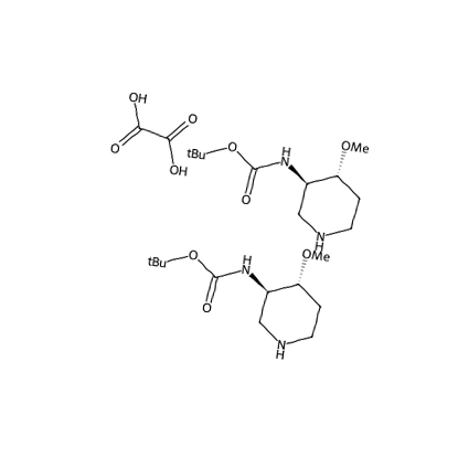 CO[C@@H]1CCNC[C@H]1NC(=O)OC(C)(C)C.CO[C@@H]1CCNC[C@H]1NC(=O)OC(C)(C)C.O=C(O)C(=O)O